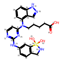 O=C(O)CCCCN(c1ccnc(Nc2ccc3c(c2)S(O)(O)NC3)n1)c1cccc2[nH]ncc12